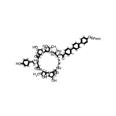 CCCCCOc1ccc(-c2ccc(-c3ccc(C(=O)N[C@H]4CCCNC(=O)[C@@H]5C[C@@H](O)CN5C(=O)[C@H]([C@@H](C)O)NC(=O)[C@H](CCc5ccc(O)cc5)NC(=O)[C@@H]5C[C@@H](O)CN5C(=O)[C@H]([C@@H](C)O)NC4=O)cc3)cc2)cc1